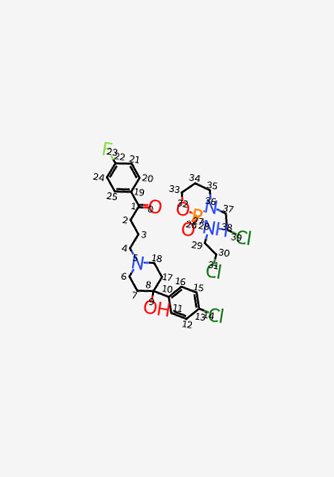 O=C(CCCN1CCC(O)(c2ccc(Cl)cc2)CC1)c1ccc(F)cc1.O=P1(NCCCl)OCCCN1CCCl